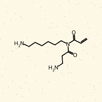 C=CC(=O)N(CCCCCCN)C(=O)CCN